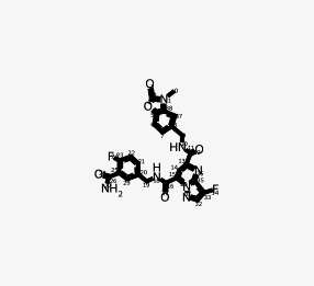 Cn1c(=O)oc2ccc(CNC(=O)c3cc(C(=O)NCc4ccc(F)c(C(N)=O)c4)n4ncc(F)c4n3)cc21